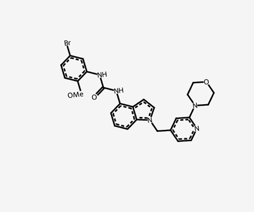 COc1ccc(Br)cc1NC(=O)Nc1cccc2c1ccn2Cc1ccnc(N2CCOCC2)c1